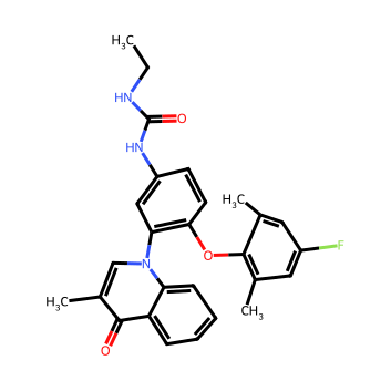 CCNC(=O)Nc1ccc(Oc2c(C)cc(F)cc2C)c(-n2cc(C)c(=O)c3ccccc32)c1